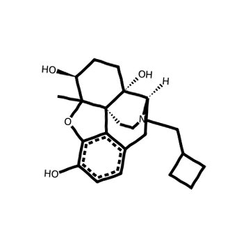 CC12Oc3c(O)ccc4c3[C@@]13CCN(CC1CCC1)[C@H](C4)[C@]3(O)CC[C@@H]2O